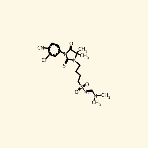 [C-]#[N+]c1ccc(N2C(=O)C(C)(C)N(CCCCS(=O)(=O)/N=C/N(C)C)C2=S)cc1Cl